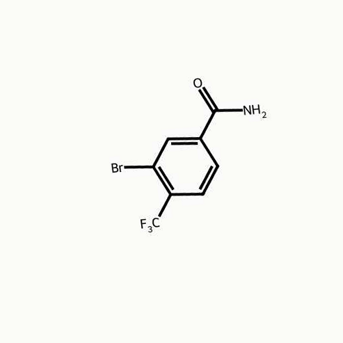 NC(=O)c1ccc(C(F)(F)F)c(Br)c1